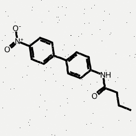 CCCC(=O)Nc1ccc(-c2ccc([N+](=O)[O-])cc2)cc1